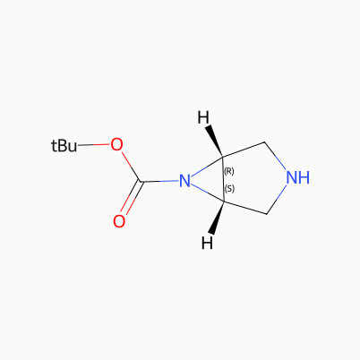 CC(C)(C)OC(=O)N1[C@@H]2CNC[C@@H]21